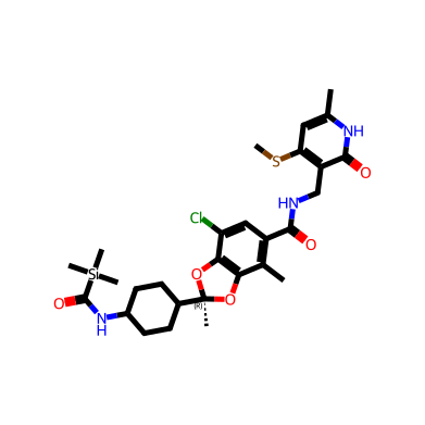 CSc1cc(C)[nH]c(=O)c1CNC(=O)c1cc(Cl)c2c(c1C)O[C@@](C)(C1CCC(NC(=O)[Si](C)(C)C)CC1)O2